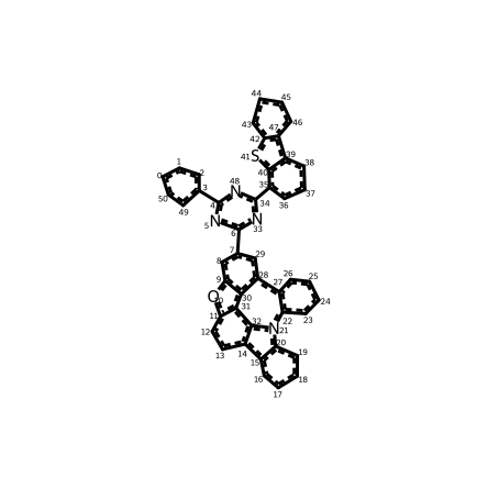 c1ccc(-c2nc(-c3cc4oc5ccc6c7ccccc7n7c8ccccc8c(c3)c4c5c67)nc(-c3cccc4c3sc3ccccc34)n2)cc1